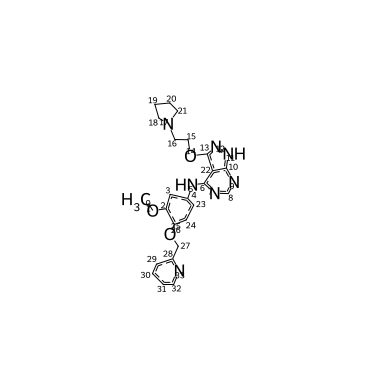 COc1cc(Nc2ncnc3[nH]nc(OCCN4CCCC4)c23)ccc1OCc1ccccn1